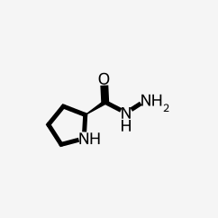 NNC(=O)[C@@H]1CCCN1